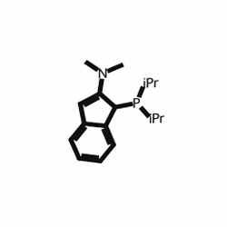 CC(C)P(C(C)C)C1C(N(C)C)=Cc2ccccc21